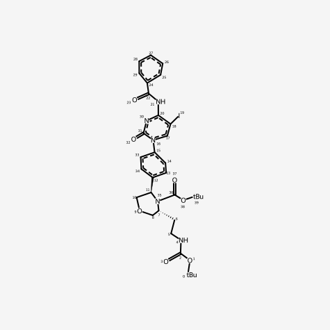 CC(C)(C)OC(=O)NCC[C@@H]1COC[C@@H](c2ccc(-n3cc(I)c(NC(=O)c4ccccc4)nc3=O)cc2)N1C(=O)OC(C)(C)C